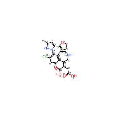 Cc1cc(-c2ccco2)n(-c2c(Cl)ccc3c2CCNCC3C(CC(=O)O)C(=O)O)n1